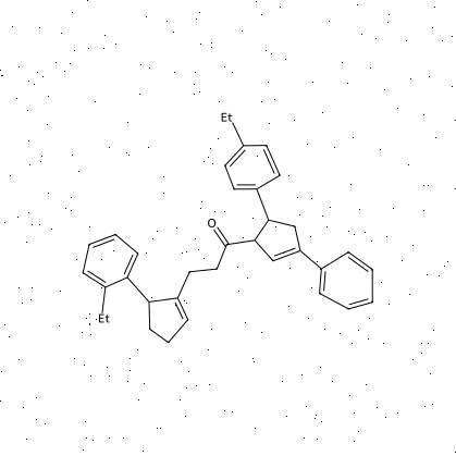 CCc1ccc(C2CC(c3ccccc3)=CC2C(=O)CCC2=CCCC2c2ccccc2CC)cc1